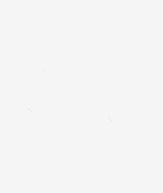 NC(Cc1ccc(Oc2ccccc2[N+](=O)[O-])cc1)C(=O)O